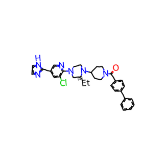 CC[C@H]1CN(c2ncc(-c3ncc[nH]3)cc2Cl)CCN1C1CCN(C(=O)c2ccc(-c3ccccc3)cc2)CC1